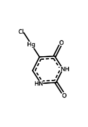 O=c1[nH]c[c]([Hg][Cl])c(=O)[nH]1